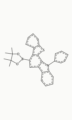 CC1(C)OB(c2cc3c4ccccc4n(-c4ccccc4)c3c3sc4ccccc4c23)OC1(C)C